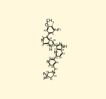 COc1cc(F)cc(-c2cncc3[nH]c(-c4n[nH]c5ccc(-c6cncc(CN7CCC(F)(F)C7)c6)nc45)cc23)c1